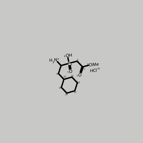 COC(=O)CP(=O)(O)C(N)CC1CCCCC1.Cl